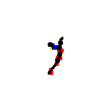 C=CC(=O)OCCCCCCOc1ccc(OC(=O)C2CCC(C(=O)Oc3ccc(C4CCC(CCC)CC4)cc3/C=N/N(C)c3nc4ccccc4s3)CC2)cc1